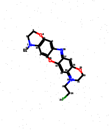 CCN1CCOc2cc3c(cc21)Oc1cc2c(cc1=N3)OCC[N+]=2CCF